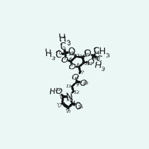 CC1(C)OC2OC(COC(=O)CCN3C(=O)C=CC3O)C3OC(C)(C)OC3C2O1